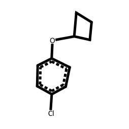 Clc1ccc(OC2CCC2)cc1